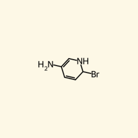 NC1=CNC(Br)C=C1